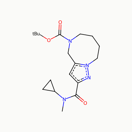 CN(C(=O)c1cc2n(n1)CCCCN(C(=O)OC(C)(C)C)C2)C1CC1